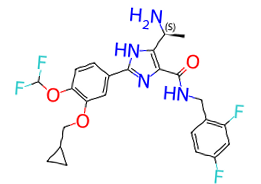 C[C@H](N)c1[nH]c(-c2ccc(OC(F)F)c(OCC3CC3)c2)nc1C(=O)NCc1ccc(F)cc1F